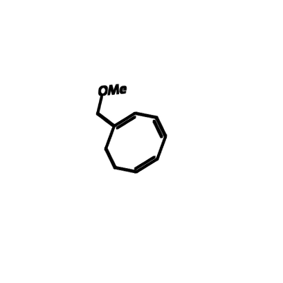 COCC1=CC=CC=CCC1